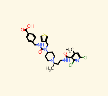 Cc1cc(Cl)nc(Cl)c1C(=O)NCC[C@@H](C)N1CCC(N(Cc2ccsc2)C(=O)NCc2ccc(C(=O)O)cc2)CC1